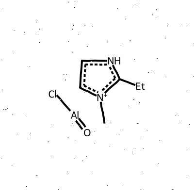 CCc1[nH]cc[n+]1C.[O]=[Al][Cl]